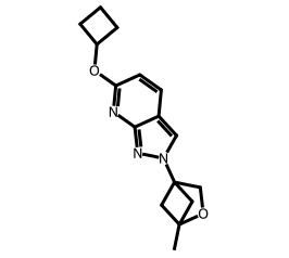 CC12CC(n3cc4ccc(OC5CCC5)nc4n3)(CO1)C2